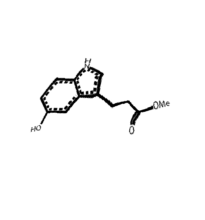 COC(=O)CCc1c[nH]c2ccc(O)cc12